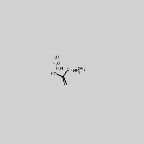 N.N.O.O.O=C(O)O.[KH]